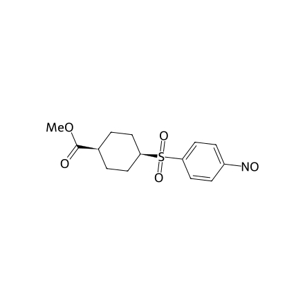 COC(=O)[C@H]1CC[C@@H](S(=O)(=O)c2ccc(N=O)cc2)CC1